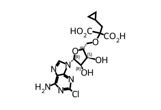 Nc1nc(Cl)nc2c1ncn2[C@@H]1O[C@H](COC(CC2CC2)(C(=O)O)C(=O)O)[C@@H](O)[C@H]1O